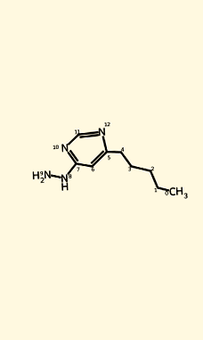 CCCCCc1cc(NN)ncn1